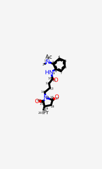 CC(=O)N(C)c1ccccc1NC(=O)CCCN1C(=O)CC(C(C)C)C1=O